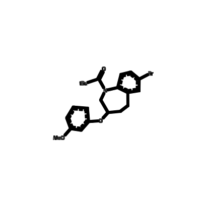 COc1cccc(OC2CCc3cc(Br)ccc3N(C(=O)C(C)(C)C)C2)c1